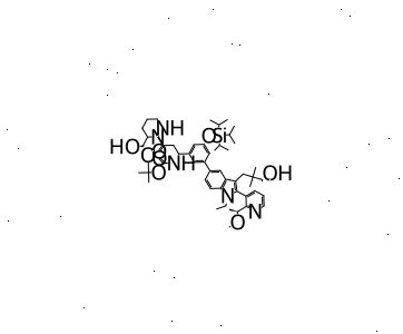 CCn1c(-c2cccnc2[C@H](C)OC)c(CC(C)(C)CO)c2cc(-c3cc(O[Si](C(C)C)(C(C)C)C(C)C)cc(C(CC(=O)N4NCCCC4C(=O)O)NC(=O)OC(C)(C)C)c3)ccc21